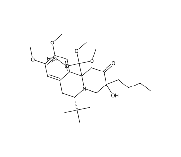 CCCCC1(O)CN2[C@H](C(C)(C)C)Cc3cc(OC)c(OC)cc3C2(C(OC)(OC)O[SiH3])CC1=O